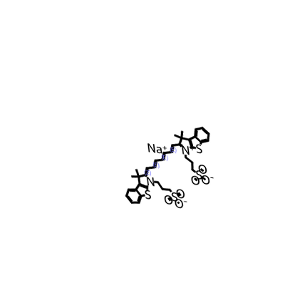 CC1(C)C(/C=C/C=C/C=C/C=C2\N(CCCS(=O)(=O)[O-])c3sc4ccccc4c3C2(C)C)=[N+](CCCS(=O)(=O)[O-])c2sc3ccccc3c21.[Na+]